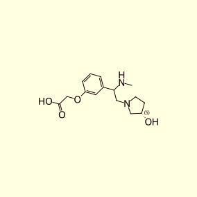 CNC(CN1CC[C@H](O)C1)c1cccc(OCC(=O)O)c1